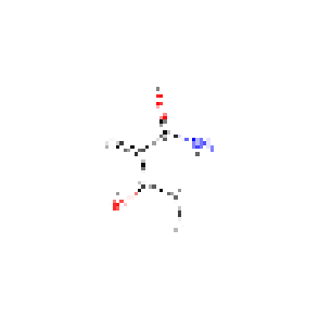 C=C(C(N)=O)C(O)CC